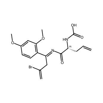 C=CC[C@@H](NC(=O)O)C(=O)N=C(CC(=C)Br)c1ccc(OC)cc1OC